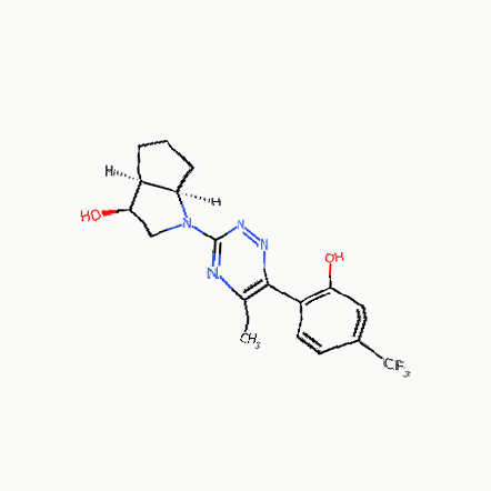 Cc1nc(N2C[C@@H](O)[C@H]3CCC[C@H]32)nnc1-c1ccc(C(F)(F)F)cc1O